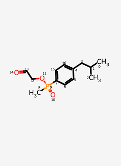 CC(C)Cc1ccc(P(C)(=O)OCC=O)cc1